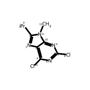 CC(C)c1nc2c(Cl)nc(Cl)nc2n1C